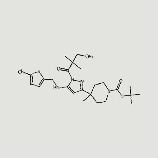 CC(C)(C)OC(=O)N1CCC(C)(c2cc(NCc3ccc(Cl)s3)n(C(=O)C(C)(C)CO)n2)CC1